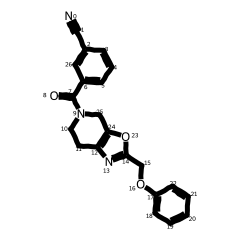 N#Cc1cccc(C(=O)N2CCc3nc(COc4ccccc4)oc3C2)c1